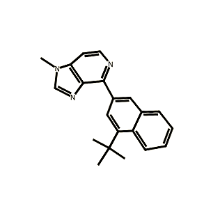 Cn1cnc2c(-c3cc(C(C)(C)C)c4ccccc4c3)nccc21